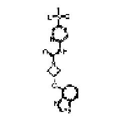 CS(=O)(=O)c1ccc(NC(=O)N2CC(Oc3cccc4scnc34)C2)nc1